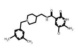 Cc1cc(C)cc(CN2CCC(CNC(=O)c3cc(Cl)c(N)[nH]c3=O)CC2)c1